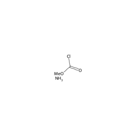 COC(=O)Cl.N